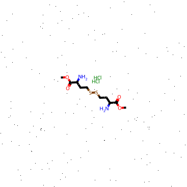 COC(=O)C(N)CCSSCCC(N)C(=O)OC.Cl.Cl